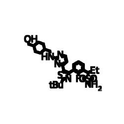 CCC(c1cccc(-c2nc(C(C)(C)C)sc2-c2ccnc(NCC3CCC(CO)CC3)n2)c1F)S(N)(=O)=O